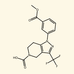 COC(=O)c1cccc(-n2nc(C(F)(F)F)c3c2CCN(C(=O)O)C3)c1